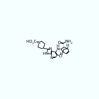 NC(=O)[C@H]1[C@H](Nc2c(Cl)cnc3[nH]c(C4CCN(C(=O)O)CC4)nc23)[C@@H]2C=C[C@@H]1C2